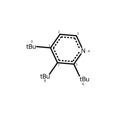 CC(C)(C)c1ccnc(C(C)(C)C)c1C(C)(C)C